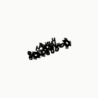 CC1(Br)CS[C@H]2C(NC(=O)COc3ccccc3)C(=O)N2C1C(=O)OCc1ccc([N+](=O)[O-])cc1